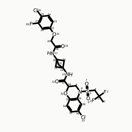 CC(F)(F)CS(=O)(=O)N1CC(C(=O)NC23CC(NC(=O)COc4ccc(Cl)c(F)c4)(C2)C3)Oc2ccc(Cl)cc21